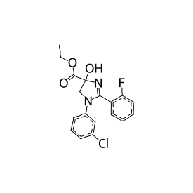 CCOC(=O)C1(O)CN(c2cccc(Cl)c2)C(c2ccccc2F)=N1